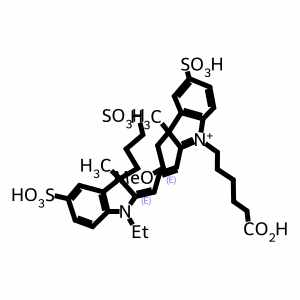 CCN1/C(=C/C=C/C2=[N+](CCCCCC(=O)O)c3ccc(S(=O)(=O)O)cc3C2(C)CCOC)C(C)(CCCS(=O)(=O)O)c2cc(S(=O)(=O)O)ccc21